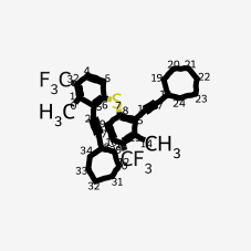 Cc1c(C(F)(F)F)ccc(Sc2ccc(C(F)(F)F)c(C)c2C#CC2CCCCCC2)c1C#CC1CCCCCC1